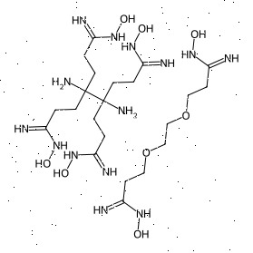 N=C(CCC(N)(CCC(=N)NO)C(N)(CCC(=N)NO)CCC(=N)NO)NO.N=C(CCOCCOCCC(=N)NO)NO